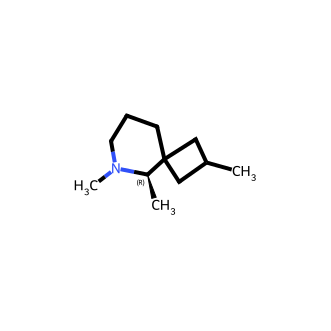 CC1CC2(CCCN(C)[C@@H]2C)C1